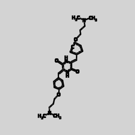 CN(C)CCCOc1ccc(C=c2[nH]c(=O)c(=Cc3ccc(OCCCN(C)C)cc3)[nH]c2=O)cc1